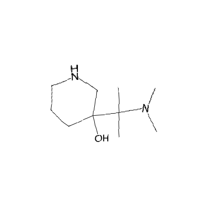 CN(C)C(C)(C)C1(O)CCCNC1